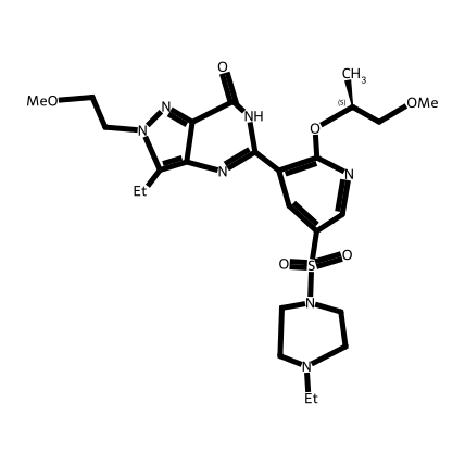 CCc1c2nc(-c3cc(S(=O)(=O)N4CCN(CC)CC4)cnc3O[C@@H](C)COC)[nH]c(=O)c2nn1CCOC